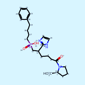 O=C(O)[C@@H]1CCCN1C(=O)CCCC(CP(=O)(O)CCCCc1ccccc1)c1ncc[nH]1